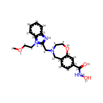 COCCn1c(CN2CCOc3cc(C(=O)NO)ccc3C2)nc2ccccc21